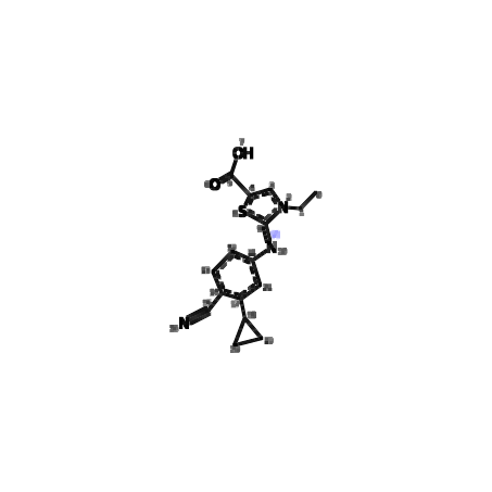 CCn1cc(C(=O)O)s/c1=N\c1ccc(C#N)c(C2CC2)c1